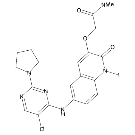 CNC(=O)COc1cc2cc(Nc3nc(N4CCCC4)ncc3Cl)ccc2n(I)c1=O